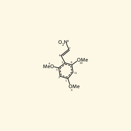 COc1cc(OC)c(/C=C/[N+](=O)[O-])c(OC)c1